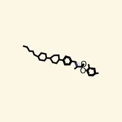 CCCCCC1CCC(C2CCC(c3ccc(/C=C(\C)C(=O)Oc4ccc(C)cc4C)cc3)CC2)CC1